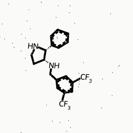 FC(F)(F)c1cc(CN[C@@H]2CCN[C@@H]2c2ccccc2)cc(C(F)(F)F)c1